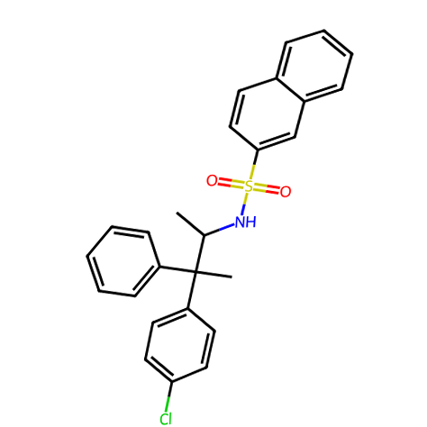 CC(NS(=O)(=O)c1ccc2ccccc2c1)C(C)(c1ccccc1)c1ccc(Cl)cc1